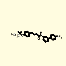 CC(C)(Oc1ccc(CCCC(=O)Nc2cccc(-c3ccc(C(F)(F)F)cc3)c2)cc1)C(=O)O